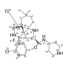 CC1(C)CCC2(CC1)N[C@@H](C(=O)NC1CCNCC1)[C@H](c1ccnc(Cl)c1F)[C@]21C(=O)Nc2cc(Cl)ccc21